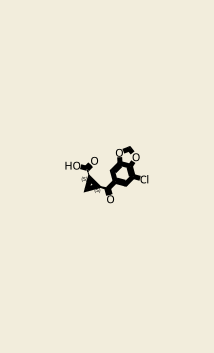 O=C(O)[C@H]1C[C@@H]1C(=O)c1cc(Cl)c2c(c1)OCO2